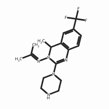 CC(C)=NN1C(N2CCNCC2)=Nc2ccc(C(F)(F)F)cc2C1C